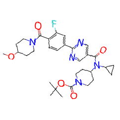 COC1CCN(C(=O)c2ccc(-c3ncc(C(=O)N(C4CC4)C4CCN(C(=O)OC(C)(C)C)CC4)cn3)cc2F)CC1